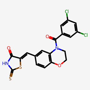 O=C1NC(=S)S/C1=C\c1ccc2c(c1)N(C(=O)c1cc(Cl)cc(Cl)c1)CCO2